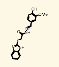 COc1cc(/C=N/NC(=O)CSc2nc3ccccc3[nH]2)ccc1O